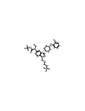 CCN(C(=O)OC(C)(C)C)c1cc2c(cn1)n(COCC[Si](C)(C)C)nc2[C@H]1CC[C@@H](Oc2ccccc2F)CC1